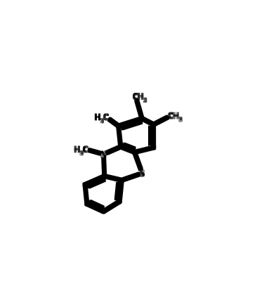 Cc1cc2c(c(C)c1C)N(C)c1ccccc1S2